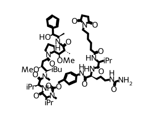 CC[C@H](C)[C@@H]([C@@H](CC(=O)N1CCC[C@H]1[C@H](OC)[C@@H](C)C(=O)N[C@H](C)[C@@H](O)c1ccccc1)OC)N(C)C(=O)[C@@H](NC(=O)C(C(C)C)N(C)C(=O)OCc1ccc(NC(=O)[C@H](CCCNC(N)=O)NC(=O)C(NC(=O)CCCCCN2C(=O)CCC2=O)C(C)C)cc1)C(C)C